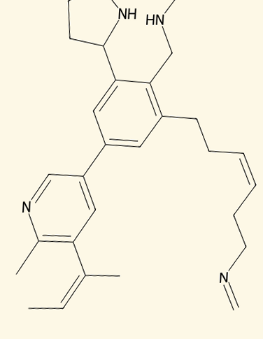 C=NCC/C=C\CCc1cc(-c2cnc(C)c(/C(C)=C\C)c2)cc(C2CCCN2)c1CNC